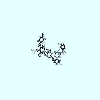 Cc1cccc(C(=O)N2CC[C@@H](C(=O)N3CCC(O)(Cn4cnc(Oc5ccc(F)cc5)c(N)c4=O)CC3)[C@H](c3ccccc3)C2)n1